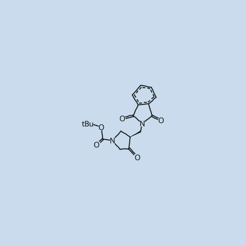 CC(C)(C)OC(=O)N1CC(=O)[C@H](CN2C(=O)c3ccccc3C2=O)C1